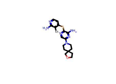 CCc1c(Sc2ncc(N3CCC4(CCOC4)CC3)nc2N)ccnc1N